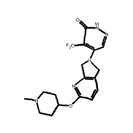 CN1CCC(Oc2ccc3c(n2)CN(c2cn[nH]c(=O)c2C(F)(F)F)C3)CC1